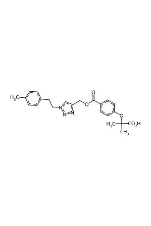 Cc1ccc(CCn2cc(COC(=O)c3ccc(OC(C)(C)C(=O)O)cc3)nn2)cc1